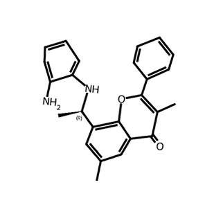 Cc1cc([C@@H](C)Nc2ccccc2N)c2oc(-c3ccccc3)c(C)c(=O)c2c1